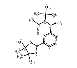 C[C@@H](c1cccc(B2OC(C)(C)C(C)(C)O2)c1)N(C(=O)O)C(C)(C)C